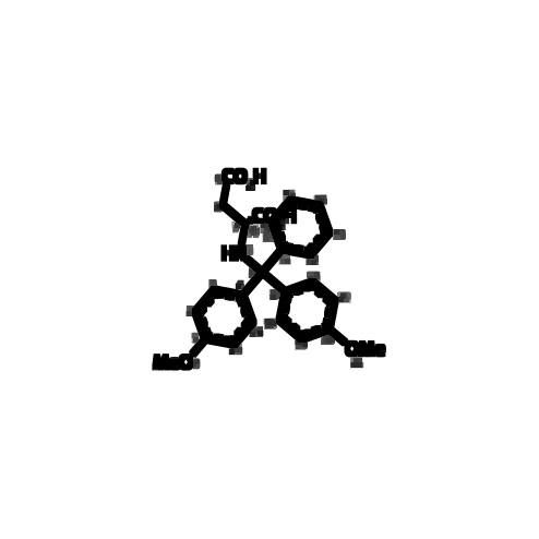 COc1ccc(C(N[C@H](CC(=O)O)C(=O)O)(c2ccccc2)c2ccc(OC)cc2)cc1